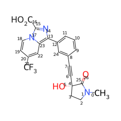 CN1CC[C@@](O)(C#Cc2cccc(-c3nc(C(=O)O)n4ccc(C(F)(F)F)cc34)c2)C1=O